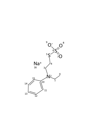 CCN(CCSS(=O)(=O)[O-])c1ccccc1.[Na+]